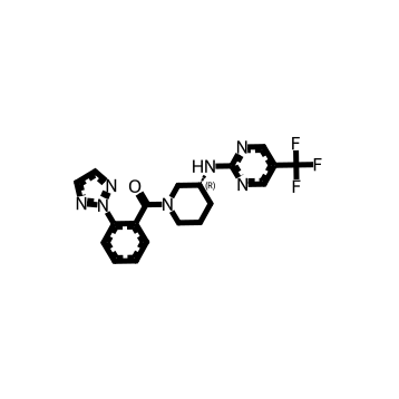 O=C(c1ccccc1-n1nccn1)N1CCC[C@@H](Nc2ncc(C(F)(F)F)cn2)C1